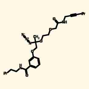 CC(C)C#CCNC(=O)COCCOC(C)(COc1cccc(C(=O)NCCC(C)C)c1)N=[N+]=[N-]